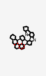 c1ccc(-c2ccc3c(c2-c2cccc(-c4cccc5ccccc45)c2-c2cccc4ccccc24)-c2c4c(ccc2=N3)=c2ccccc2=N4)cc1